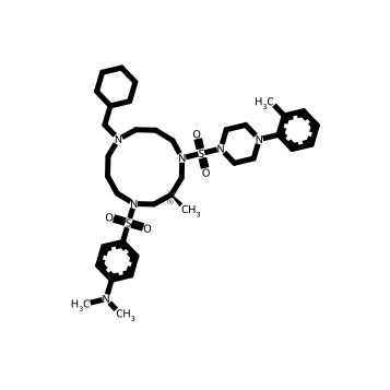 Cc1ccccc1N1CCN(S(=O)(=O)N2CCCN(CC3CCCCC3)CCCN(S(=O)(=O)c3ccc(N(C)C)cc3)C[C@H](C)C2)CC1